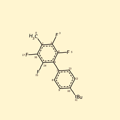 Cc1c(F)c(F)c(-c2ccc(C(C)(C)C)cc2)c(F)c1F